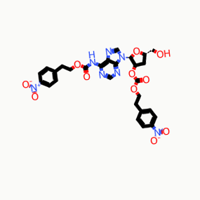 O=C(Nc1ncnc2c1ncn2[C@@H]1O[C@H](CO)CC1OC(=O)OCCc1ccc([N+](=O)[O-])cc1)OCCc1ccc([N+](=O)[O-])cc1